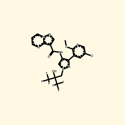 COc1ncc(Cl)cc1-c1nn(CC(O)(C(F)(F)F)C(F)(F)F)cc1NC(=O)c1cnn2cccnc12